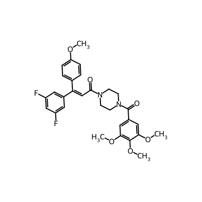 COc1ccc(/C(=C\C(=O)N2CCN(C(=O)c3cc(OC)c(OC)c(OC)c3)CC2)c2cc(F)cc(F)c2)cc1